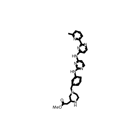 COC(=O)CC1CN(Cc2cccc(Nc3nccc(Nc4ccnc(-c5cccc(C)n5)n4)n3)c2)CCN1